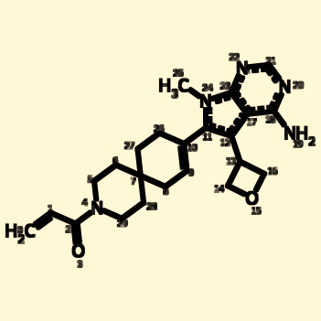 C=CC(=O)N1CCC2(CC=C(c3c(C4COC4)c4c(N)ncnc4n3C)CC2)CC1